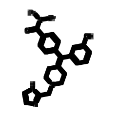 CC(C)N(C(=O)c1ccc(C(=C2CCN(Cc3ncc[nH]3)CC2)c2cccc(O)c2)cc1)C(C)C